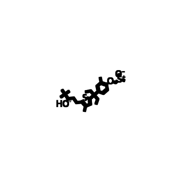 CCC(CC)(c1ccc(OC[S+](C)[O-])c(C)c1)c1cc(C)c(CC[C@@H](O)C(C)(C)C)s1